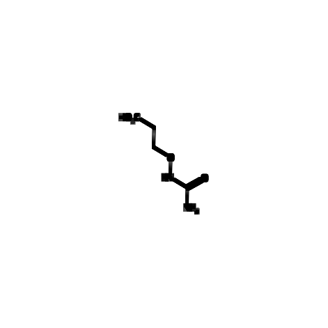 NC(=O)NOCCC(=O)O